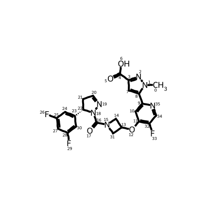 Cn1nc(C(=O)O)cc1-c1cc(OC2CN(C(=O)N3N=CC[C@H]3c3cc(F)cc(F)c3)C2)c(F)cn1